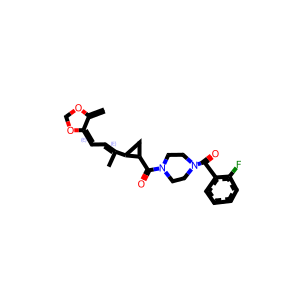 C=C1OCO/C1=C/C=C(\C)C1CC1C(=O)N1CCN(C(=O)c2ccccc2F)CC1